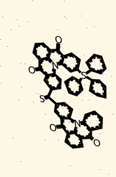 O=c1c2ccccc2n2c3ccc(C(=S)c4ccc5c(c4)c(=O)c4cccc6c(=O)c7ccc(S(c8ccccc8)(c8ccccc8)c8ccccc8)cc7n5c46)cc3c(=O)c3cccc1c32